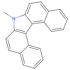 Cn1c2ccc3ccccc3c2c2c3ccccc3ccc21